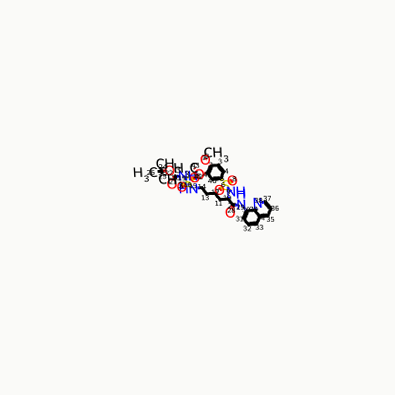 COc1ccc(S(=O)(=O)NC(CCCCNS(=O)(=O)NC(=O)OC(C)(C)C)C(=O)Nc2cccc3cccnc23)cc1OC